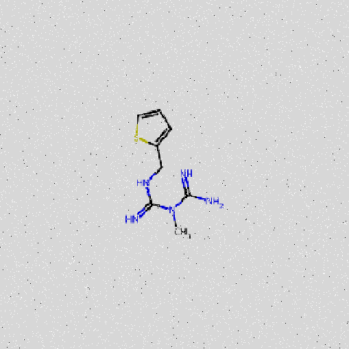 CN(C(=N)N)C(=N)NCc1cccs1